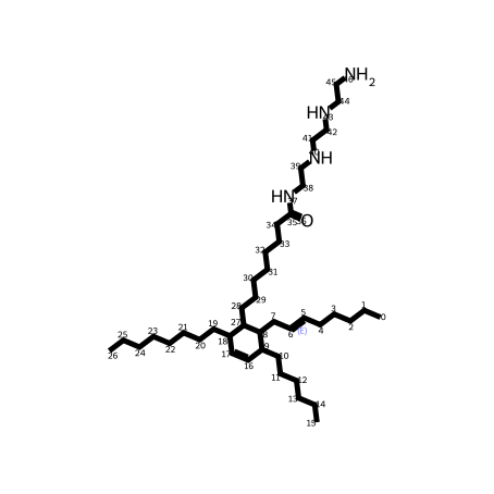 CCCCC/C=C/CC1C(CCCCCC)C=CC(CCCCCCCC)C1CCCCCCCC(=O)NCCNCCNCCN